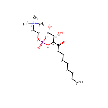 CCCCCCCCCCCCCCCCCC(=O)C(OP(=O)([O-])OCC[N+](C)(C)C)[C@@H](O)CO